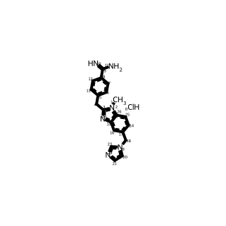 Cl.Cn1c(Cc2ccc(C(=N)N)cc2)nc2cc(Cn3ccnc3)ccc21